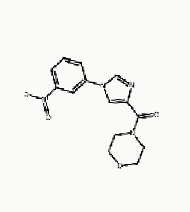 O=C(c1cn(-c2cccc([N+](=O)[O-])c2)cn1)N1CCOCC1